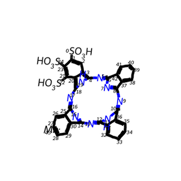 O=S(=O)(O)c1cc2c3nc4nc(nc5[nH]c(nc6nc(nc([nH]3)c2c(S(=O)(=O)O)c1S(=O)(=O)O)-c1ccccc1-6)c1ccccc51)-c1ccccc1-4.[Mn]